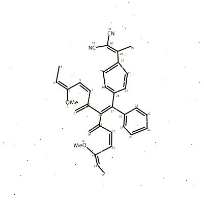 C=C(/C=C\C(=C/C)OC)C(C(=C)/C=C\C(=C/C)OC)=C(c1ccccc1)c1ccc(C(C)=C(C#N)C#N)cc1